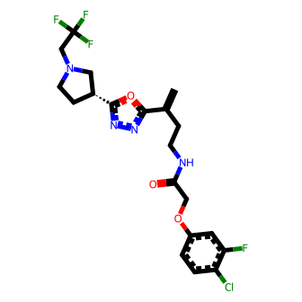 C=C(CCNC(=O)COc1ccc(Cl)c(F)c1)c1nnc([C@@H]2CCN(CC(F)(F)F)C2)o1